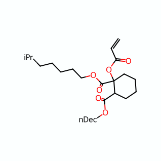 C=CC(=O)OC1(C(=O)OCCCCCC(C)C)CCCCC1C(=O)OCCCCCCCCCC